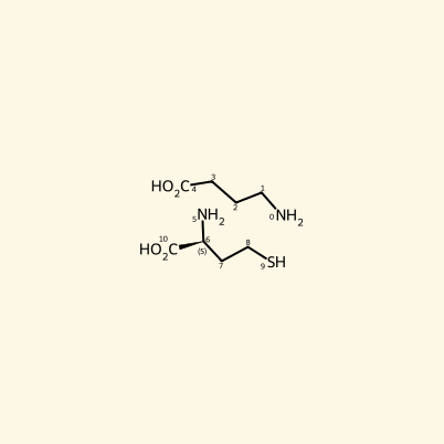 NCCCC(=O)O.N[C@@H](CCS)C(=O)O